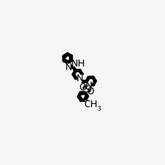 Cc1cccc(S(=O)(=O)N2CCCCC2CN2CCC(c3nc4ccccc4[nH]3)CC2)c1